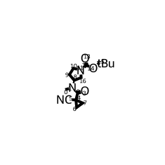 CN(C(=O)C1(C#N)CC1)[C@H]1CCN(C(=O)OC(C)(C)C)C1